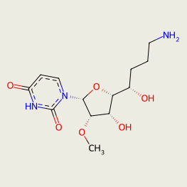 CO[C@H]1[C@@H](O)[C@@H]([C@@H](O)CCCN)O[C@H]1n1ccc(=O)[nH]c1=O